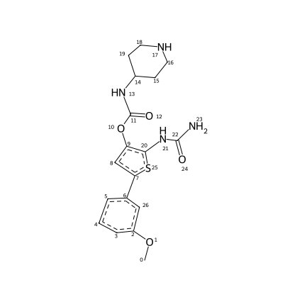 COc1cccc(-c2cc(OC(=O)NC3CCNCC3)c(NC(N)=O)s2)c1